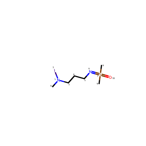 CN(I)CCCN=S(C)(C)=O